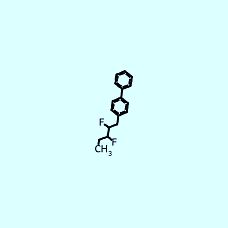 CCC(F)C(F)Cc1ccc(-c2ccccc2)cc1